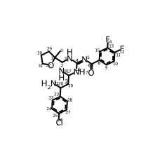 CC1(CN/C(=N/C(=O)c2ccc(F)c(F)c2)NC(N)CC(N)c2ccc(Cl)cc2)CCCO1